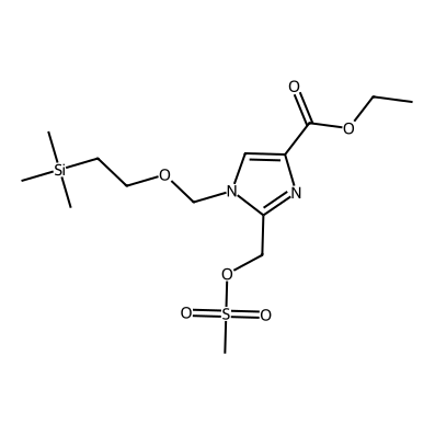 CCOC(=O)c1cn(COCC[Si](C)(C)C)c(COS(C)(=O)=O)n1